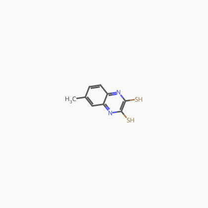 Cc1ccc2nc(S)c(S)nc2c1